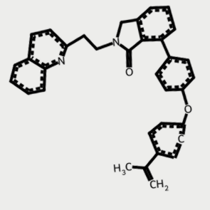 C=C(C)c1ccc(Oc2ccc(-c3cccc4c3C(=O)N(CCc3ccc5ccccc5n3)C4)cc2)cc1